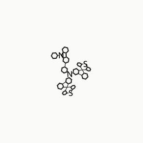 c1ccc(-n2c3ccccc3c3ccc(-c4cccc(N(c5ccc6c(c5)-c5ccccc5C65c6ccccc6Sc6ccccc65)c5ccc6c(c5)-c5ccccc5C65c6ccccc6Sc6ccccc65)c4)cc32)cc1